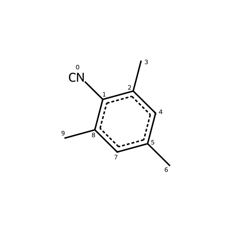 [C-]#[N+]c1c(C)cc(C)cc1C